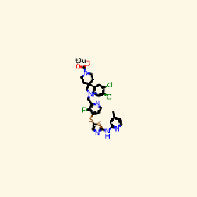 Cc1ccnc(Nc2ncc(Sc3ccnc(CNCC4(c5ccc(Cl)c(Cl)c5)CCN(C(=O)OC(C)(C)C)CC4)c3F)s2)c1